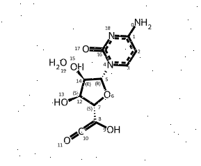 Nc1ccn([C@@H]2O[C@H](C(O)=C=O)[C@@H](O)[C@H]2O)c(=O)n1.O